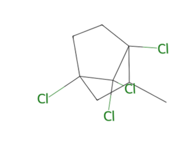 CC1CC2(Cl)CCC1(Cl)C2(Cl)Cl